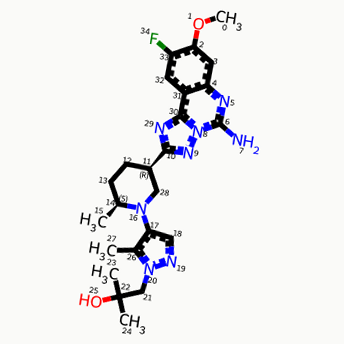 COc1cc2nc(N)n3nc([C@@H]4CC[C@H](C)N(c5cnn(CC(C)(C)O)c5C)C4)nc3c2cc1F